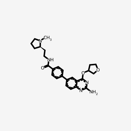 CN1CCC[C@@H]1CCNC(=O)c1ccc(-c2ccc3nc(N)nc(OC4CCOC4)c3c2)cc1